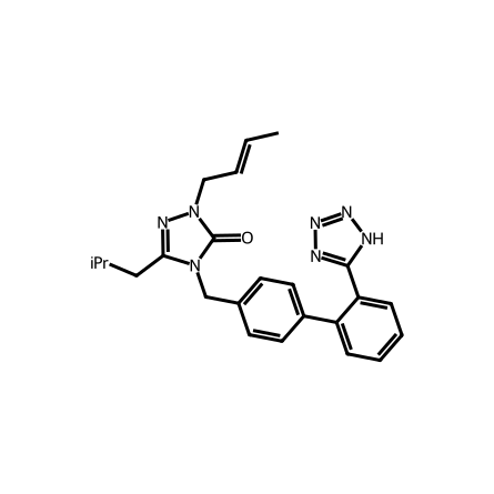 CC=CCn1nc(CC(C)C)n(Cc2ccc(-c3ccccc3-c3nnn[nH]3)cc2)c1=O